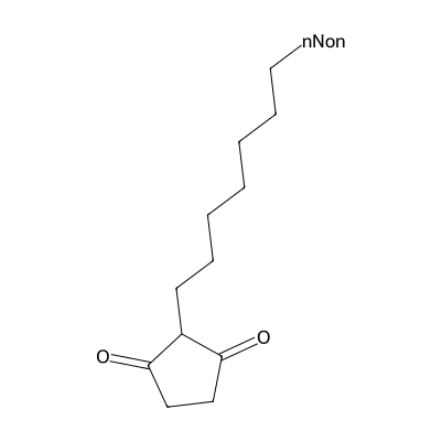 CCCCCCCCCCCCCCCCC1C(=O)CCC1=O